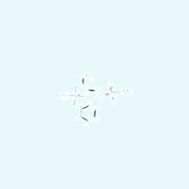 C=CC[N+](C)(CC=C)Cc1ccccc1.COS(=O)(=O)[O-]